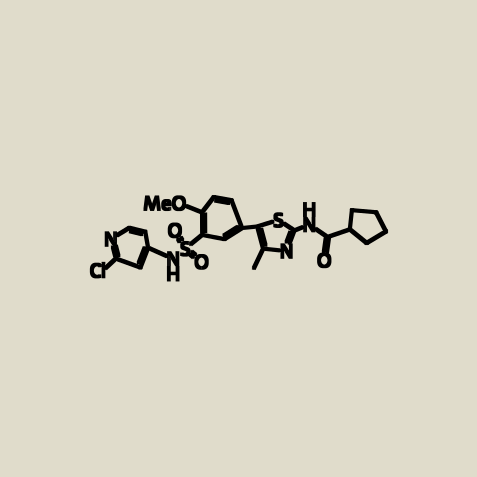 COc1ccc(-c2sc(NC(=O)C3CCCC3)nc2C)cc1S(=O)(=O)Nc1ccnc(Cl)c1